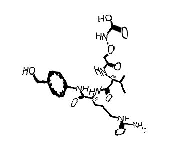 CC(C)[C@H](NC(=O)CONC(=O)O)C(=O)N[C@@H](CCCNC(N)=O)C(=O)Nc1ccc(CO)cc1